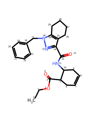 CCOC(=O)C1CC=CCC1NC(=O)c1nn(Cc2ccccc2)c2c1CCCC2